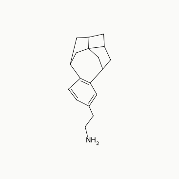 NCCc1ccc2c(c1)C1CC3CC4CC2CC43C1